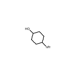 [CH2]CCC1CCC(O)CC1